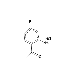 CC(=O)c1ccc(F)cc1N.Cl